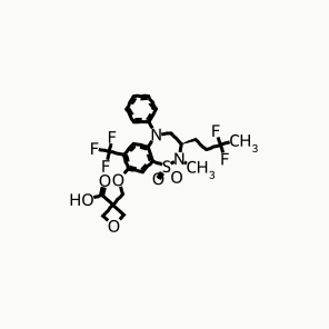 CN1[C@H](CCC(C)(F)F)CN(c2ccccc2)c2cc(C(F)(F)F)c(OCC3(C(=O)O)COC3)cc2S1(=O)=O